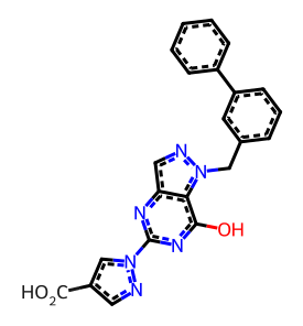 O=C(O)c1cnn(-c2nc(O)c3c(cnn3Cc3cccc(-c4ccccc4)c3)n2)c1